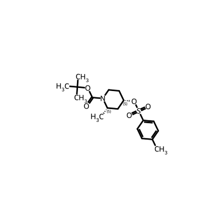 Cc1ccc(S(=O)(=O)O[C@H]2CCN(C(=O)OC(C)(C)C)[C@@H](C)C2)cc1